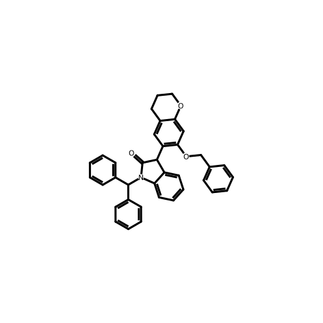 O=C1C(c2cc3c(cc2OCc2ccccc2)OCCC3)c2ccccc2N1C(c1ccccc1)c1ccccc1